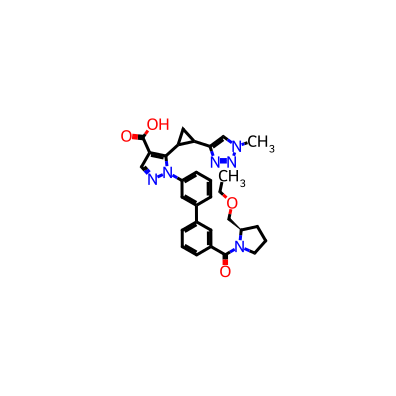 CCOC[C@H]1CCCN1C(=O)c1cccc(-c2cccc(-n3ncc(C(=O)O)c3C3CC3c3cn(C)nn3)c2)c1